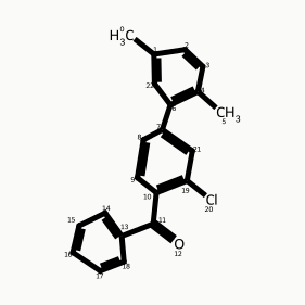 Cc1ccc(C)c(-c2ccc(C(=O)c3ccccc3)c(Cl)c2)c1